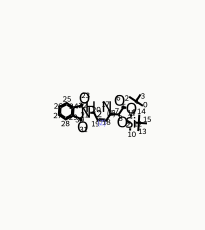 CC(C)(C)OC(=O)C(O[Si](C)(C)C(C)(C)C)[C@@H](N)/C=C\CN1C(=O)c2ccccc2C1=O